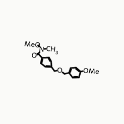 COc1ccc(COCc2ccc(C(=O)N(C)OC)cc2)cc1